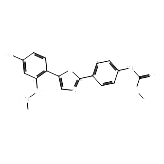 CC(C)OC(=O)Nc1ccc(-c2ncc(-c3ccc(Br)cc3SNC(C)(C)C)s2)cc1